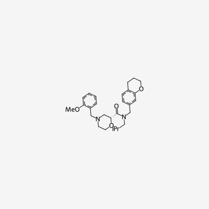 COc1ccccc1CN1CCO[C@@H](C(=O)N(Cc2ccc3c(c2)OCCC3)CC(C)C)C1